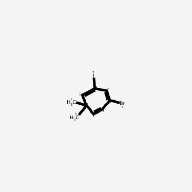 CC1(C)C=CC(Br)=CC(I)=C1